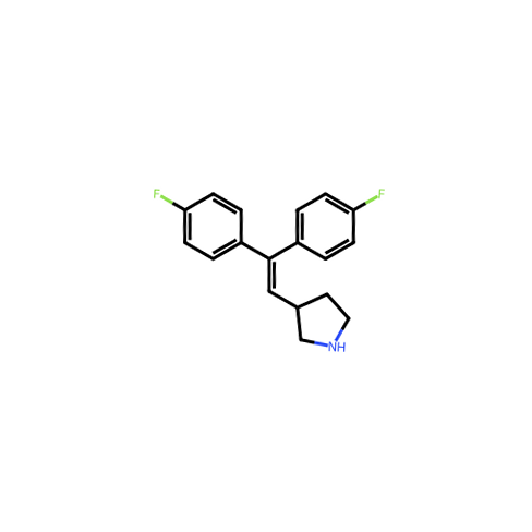 Fc1ccc(C(=CC2CCNC2)c2ccc(F)cc2)cc1